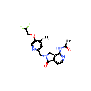 Cc1cc(CN2Cc3c(ccnc3NC(=O)C(C)C)C2=O)ncc1OCC(F)F